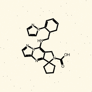 O=C(O)N1Cc2c(nc3ccnn3c2NCC2CC=CC=C2n2cccn2)C12CCCC2